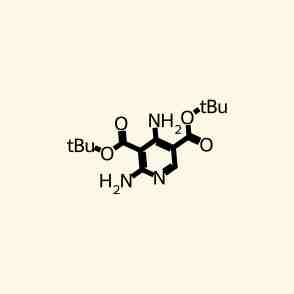 CC(C)(C)OC(=O)c1cnc(N)c(C(=O)OC(C)(C)C)c1N